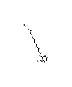 CCCCCCCCCCCCCCOc1ccccc1N